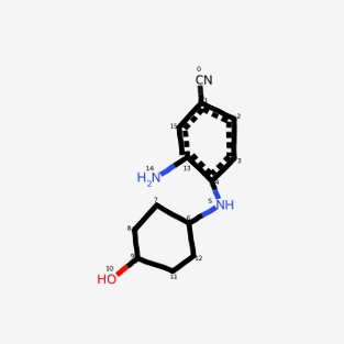 N#Cc1ccc(NC2CCC(O)CC2)c(N)c1